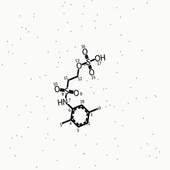 Cc1ccc(C)c(NS(=O)(=O)CCOS(=O)(=O)O)c1